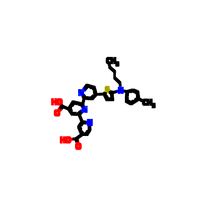 CCCCCN(c1ccc(C)cc1)c1ccc(-c2ccnc(-c3cc(C(=O)O)cc(-c4cc(C(=O)O)ccn4)n3)c2)s1